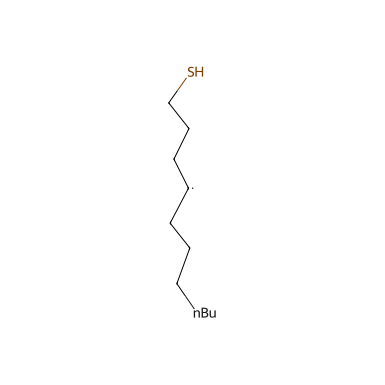 CCCCCCC[CH]CCCS